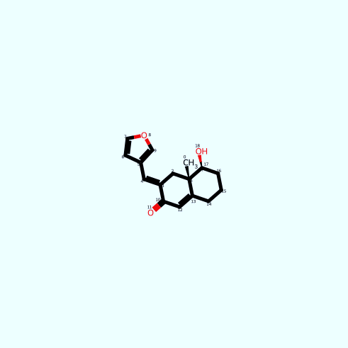 C[C@]12CC(=Cc3ccoc3)C(=O)C=C1CCC[C@@H]2O